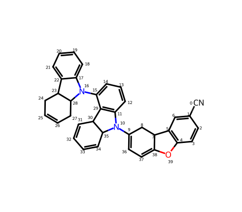 N#Cc1ccc2c(c1)C1CC(N3c4cccc(N5c6ccccc6C6CC=CCC65)c4C4C=CC=CC43)=CC=C1O2